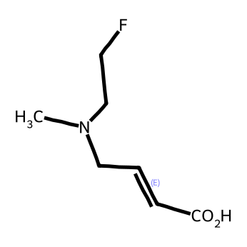 CN(C/C=C/C(=O)O)CCF